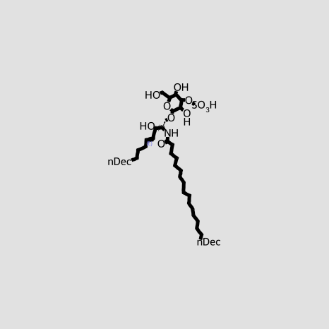 CCCCCCCCCCCCC/C=C/[C@@H](O)[C@H](COC1OC(CO)C(O)C(OS(=O)(=O)O)C1O)NC(=O)CCCCCCCCCCCCCCCCCCCCCCCCC